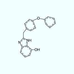 Oc1cccc2nc(Cc3ccc(Oc4ccccc4)cc3)[nH]c12